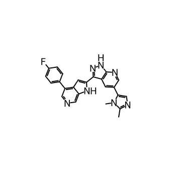 Cc1ncc(-c2cnc3[nH]nc(-c4cc5c(-c6ccc(F)cc6)cncc5[nH]4)c3c2)n1C